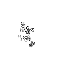 C=Cc1c(-c2cc(NCc3ccc(Cl)s3)n(C(=O)c3ccsc3)n2)ccn(CCc2cnccn2)c1=O